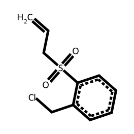 C=CCS(=O)(=O)c1ccccc1CCl